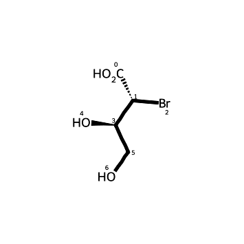 O=C(O)[C@H](Br)[C@H](O)CO